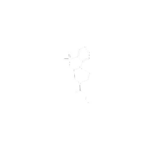 CC(C)(C)OC(=O)N1CCN2c3ccccc3S(=O)(=O)CC2C1